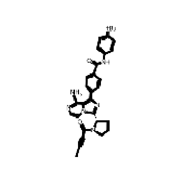 CC#CC(=O)N1CCC[C@H]1c1nc(-c2ccc(C(=O)Nc3ccc(C(C)(C)C)cc3)cc2)c2c(N)nccn12